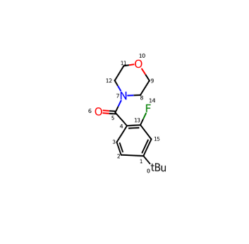 CC(C)(C)c1ccc(C(=O)N2CCOCC2)c(F)c1